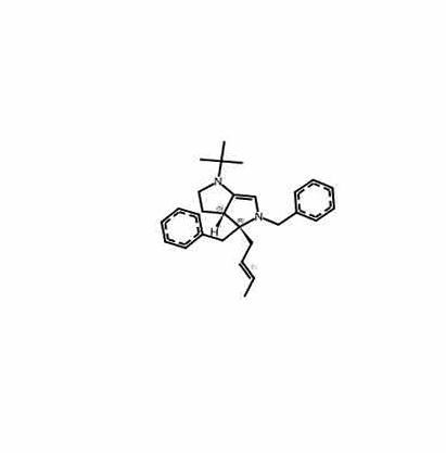 C/C=C/C[C@@]1(Cc2ccccc2)[C@@H]2CCN(C(C)(C)C)C2=CN1Cc1ccccc1